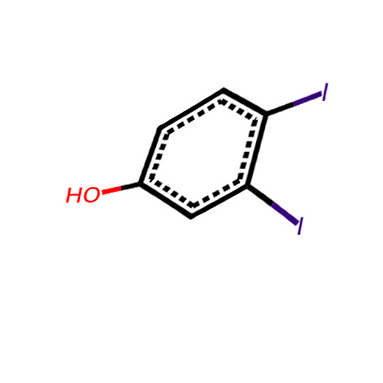 Oc1ccc(I)c(I)c1